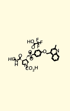 Cc1cc(COc2ccc(S(=O)(=O)C[C@@H]3CN(C(=O)O)C[C@@H]3C(=O)NO)cc2)c2ccccc2n1.O=C(O)C(F)(F)F